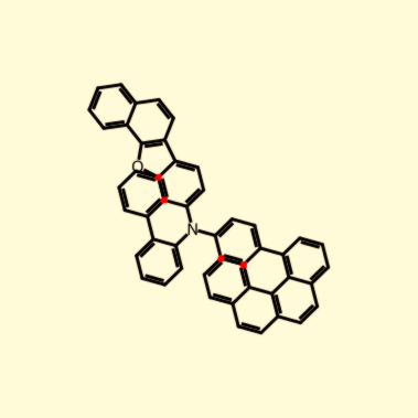 c1ccc(-c2ccccc2N(c2ccc(-c3cccc4ccc5ccc6ccccc6c5c34)cc2)c2ccc3c(c2)oc2c4ccccc4ccc32)cc1